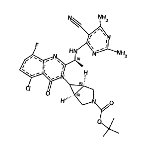 C[C@H](Nc1nc(N)nc(N)c1C#N)c1nc2c(F)ccc(Cl)c2c(=O)n1C1[C@H]2CN(C(=O)OC(C)(C)C)C[C@@H]12